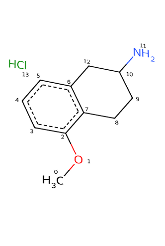 COc1cccc2c1CCC(N)C2.Cl